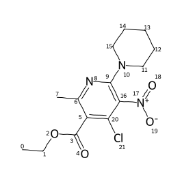 CCOC(=O)c1c(C)nc(N2CCCCC2)c([N+](=O)[O-])c1Cl